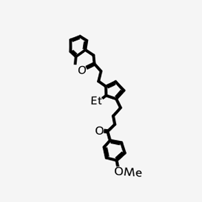 CCC1C(CCCC(=O)c2ccc(OC)cc2)=CC=C1CCC(=O)Cc1ccccc1C